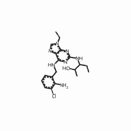 CCC(Nc1nc(NCc2cccc(Cl)c2N)c2ncn(CC)c2n1)C(C)O